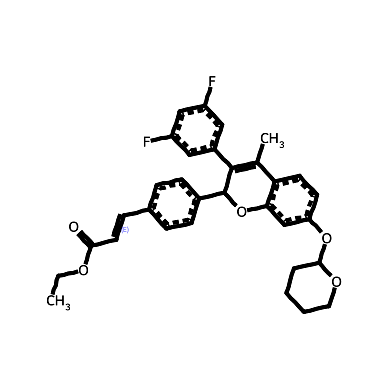 CCOC(=O)/C=C/c1ccc(C2Oc3cc(OC4CCCCO4)ccc3C(C)=C2c2cc(F)cc(F)c2)cc1